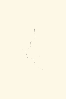 CCCCOC(Br)CC(C)CCCC(C)C